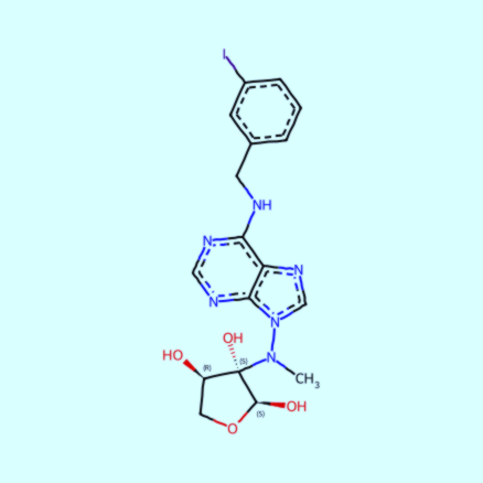 CN(n1cnc2c(NCc3cccc(I)c3)ncnc21)[C@]1(O)[C@H](O)CO[C@@H]1O